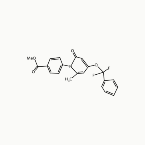 COC(=O)c1ccc(-n2c(C)cc(OC(F)(F)c3ccccc3)cc2=O)cc1